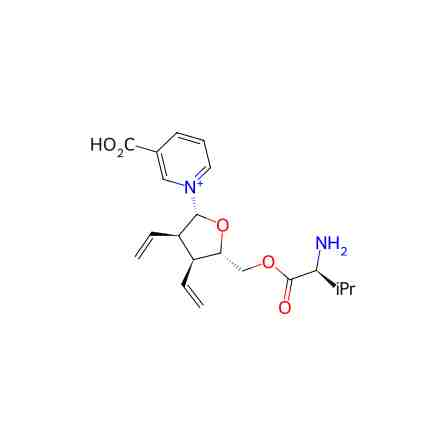 C=C[C@@H]1[C@H](C=C)[C@@H](COC(=O)[C@@H](N)C(C)C)O[C@H]1[n+]1cccc(C(=O)O)c1